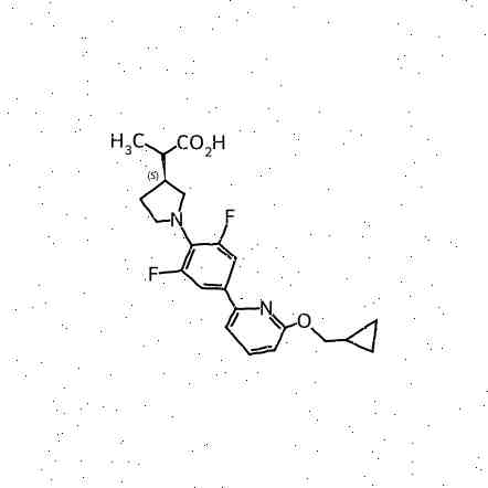 CC(C(=O)O)[C@@H]1CCN(c2c(F)cc(-c3cccc(OCC4CC4)n3)cc2F)C1